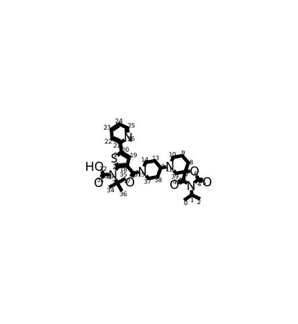 CC(C)N1C(=O)OC2(CCCN(C3CCN(C(=O)c4cc(-c5ccccn5)sc4N(C(=O)O)C(C)(C)C)CC3)C2)C1=O